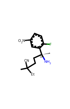 CCC(C)(C#N)CC[C@](C)(N)c1cc([N+](=O)[O-])ccc1F